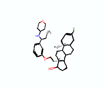 CCC(NC1CCOCC1)c1cccc(OCC[C@]23CCC4C(CCC5CC(F)=CC[C@@]54C)C2CCC3O)c1